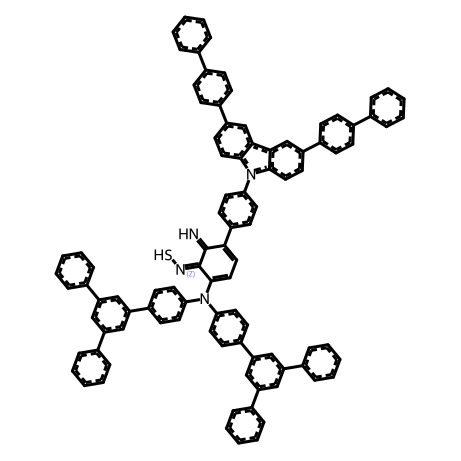 N=C1C(c2ccc(-n3c4ccc(-c5ccc(-c6ccccc6)cc5)cc4c4cc(-c5ccc(-c6ccccc6)cc5)ccc43)cc2)=CC=C(N(c2ccc(-c3cc(-c4ccccc4)cc(-c4ccccc4)c3)cc2)c2ccc(-c3cc(-c4ccccc4)cc(-c4ccccc4)c3)cc2)/C1=N/S